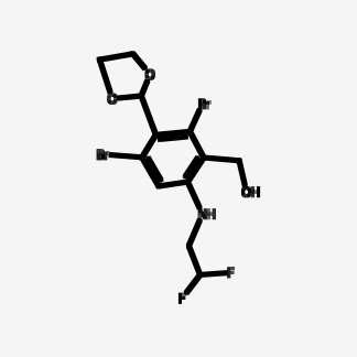 OCc1c(NCC(F)F)cc(Br)c(C2OCCO2)c1Br